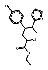 CCOC(=O)C(Cl)CC(c1ccc(Cl)cc1)C(C)c1ncco1